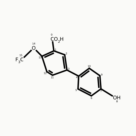 O=C(O)c1cc(-c2ccc(O)cc2)ccc1OC(F)(F)F